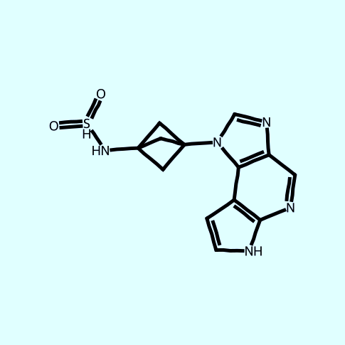 O=[SH](=O)NC12CC(n3cnc4cnc5[nH]ccc5c43)(C1)C2